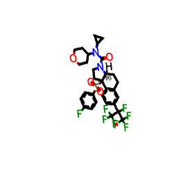 O=C(N(C1CCOCC1)C1CC1)N1CC[C@@]2(S(=O)(=O)c3ccc(F)cc3)c3ccc(C(F)(C(F)(F)F)C(F)(F)F)cc3CC[C@@H]12